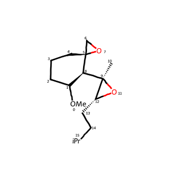 COC1CCC[C@]2(CO2)[C@H]1[C@@]1(C)O[C@@H]1CCC(C)C